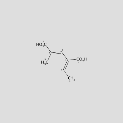 CC=C(C=C(C)C(=O)O)C(=O)O